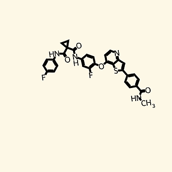 CNC(=O)c1ccc(-c2cc3nccc(Oc4ccc(NC(=O)C5(C(=O)Nc6ccc(F)cc6)CC5)cc4F)c3s2)cc1